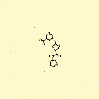 COC(=O)c1cncc(Oc2ccc(C(=O)Nc3cccnc3)cn2)c1